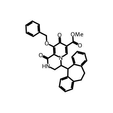 COC(=O)c1cn2c(c(OCc3ccccc3)c1=O)C(=O)NCC2C1c2ccccc2CCc2ccccc21